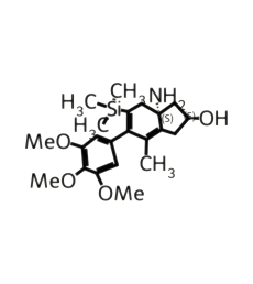 COc1cc(C2=C([Si](C)(C)C)C[C@@]3(N)C[C@@H](O)CC3=C2C)cc(OC)c1OC